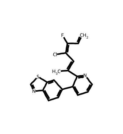 C=C/C(F)=C(Cl)\C=C(/C)c1ncccc1-c1ccc2ncsc2c1